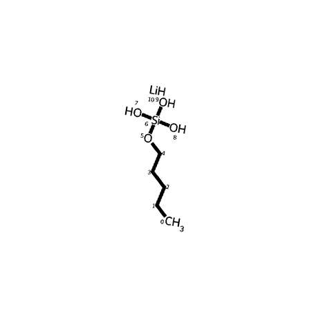 CCCCCO[Si](O)(O)O.[LiH]